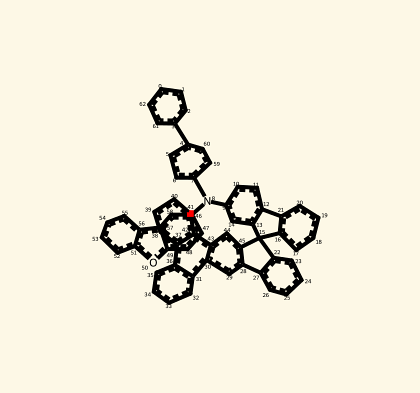 c1ccc(-c2ccc(N(c3ccc4c(c3)C3(c5ccccc5-4)c4ccccc4-c4cc5c6ccccc6c6ccccc6c5cc43)c3ccc4oc5ccccc5c4c3)cc2)cc1